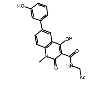 CC(=O)CNC(=O)c1c(O)c2cc(-c3cccc(O)c3)ccc2n(C)c1=O